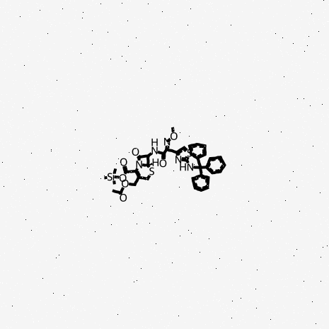 CON=C(C(=O)NC1C(=O)N2C(C(=O)O[Si](C)(C)C)=C(COC(C)=O)CS[C@@H]12)c1csc(NC(c2ccccc2)(c2ccccc2)c2ccccc2)n1